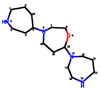 C1CNCCC(N2CCOC(N3CCCNCC3)CC2)C1